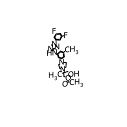 CC(=O)OCC(C)(CO)N1CCN(c2cc(C)cc(Nc3ncn(-c4cc(F)cc(F)c4)n3)c2)CC1